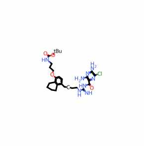 CC(C)(C)OC(=O)NCCCOc1ccc(CCCCNC(=N)NC(=O)c2nc(Cl)c(N)nc2N)c2c1CCCC2